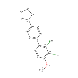 COc1ccc(-c2ccc(C3CCCC3)cc2)c(F)c1F